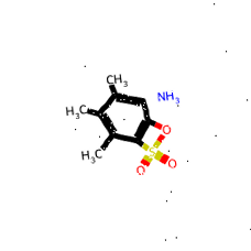 Cc1cc2c(c(C)c1C)S(=O)(=O)O2.N